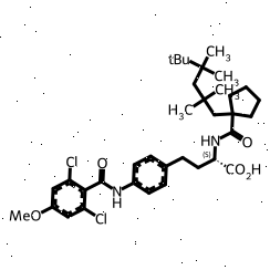 COc1cc(Cl)c(C(=O)Nc2ccc(CC[C@H](NC(=O)C3(CC(C)(C)CC(C)(C)C(C)(C)C)CCCC3)C(=O)O)cc2)c(Cl)c1